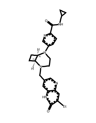 CCc1cc2ncc(CN3CCN(c4ccc(C(=O)NC5CC5)nc4)[C@@H]4CC[C@@H]43)cc2[nH]c1=O